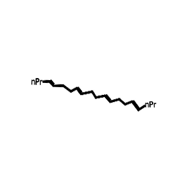 [CH2]CCC=CCCC=CCCC=CCCC=CCCC